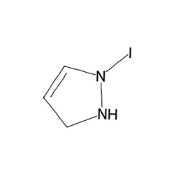 IN1C=CCN1